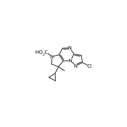 CC1(C2CC2)CN(C(=O)O)c2cnc3cc(Cl)nn3c21